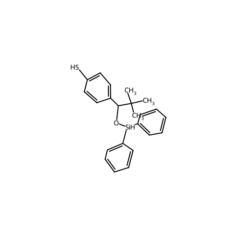 CC(C)(C)C(O[SiH](c1ccccc1)c1ccccc1)c1ccc(S)cc1